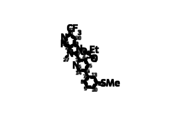 CCS(=O)(=O)c1cc(-c2cccc(SC)c2)cnc1-c1nc2cc(C(F)(F)F)nnc2n1C